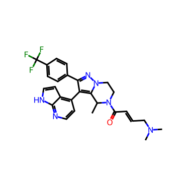 CC1c2c(-c3ccnc4[nH]ccc34)c(-c3ccc(C(F)(F)F)cc3)nn2CCN1C(=O)/C=C/CN(C)C